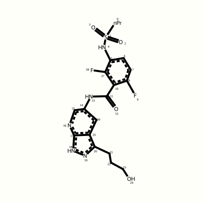 CCCS(=O)(=O)Nc1ccc(F)c(C(=O)Nc2cnc3[nH]nc(CCCO)c3c2)c1F